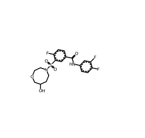 O=C(Nc1ccc(F)c(F)c1)c1ccc(F)c(S(=O)(=O)N2CCOCC(O)CC2)c1